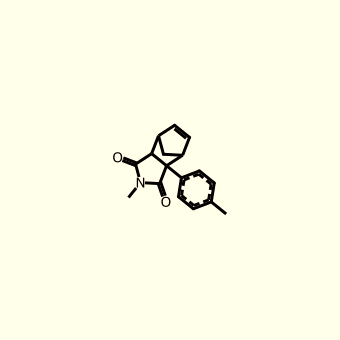 Cc1ccc(C23C(=O)N(C)C(=O)C2C2C=CC3C2)cc1